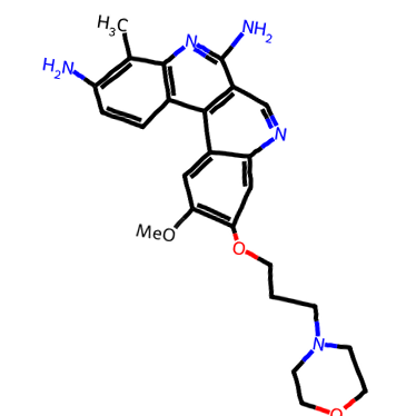 COc1cc2c(cc1OCCCN1CCOCC1)ncc1c(N)nc3c(C)c(N)ccc3c12